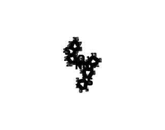 c1ccc2c(c1)sc1cc3c4ccccc4n(-c4nc5ccc6sc7ccccc7c6c5o4)c3cc12